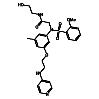 COc1ccccc1S(=O)(=O)N(CC(=O)NCCO)c1cc(C)cc(OCCNc2ccncc2)c1